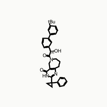 CC(C)(C)c1cccc(-c2cccc([C@@H](O)C(=O)N3CCCc4nc(C5(c6ccccc6)CC5)[nH]c(=O)c4C3)c2)c1